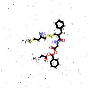 CCC(=O)OC(OC(=O)CNC(=O)C(CSSCC(N)CCSC)Cc1ccccc1)C1CCCCC1